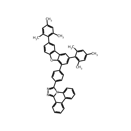 Cc1cc(C)c(-c2ccc3oc4c(-c5ccc(-c6nnc7c8ccccc8c8ccccc8n67)cc5)cc(-c5c(C)cc(C)cc5C)cc4c3c2)c(C)c1